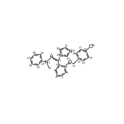 CN(/N=C(\c1ccccc1OCc1ccc(Cl)cc1)n1ccnc1)c1ccccc1